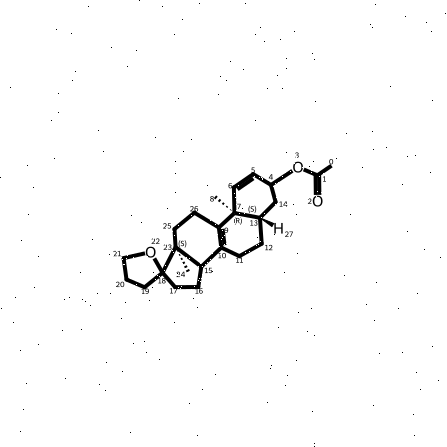 CC(=O)OC1C=C[C@]2(C)C3=C(CC[C@H]2C1)C1CCC2(CCCO2)[C@@]1(C)CC3